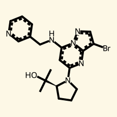 CC(C)(O)[C@@H]1CCCN1c1cc(NCc2cccnc2)n2ncc(Br)c2n1